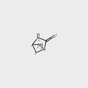 O=C1NC2CN1N2